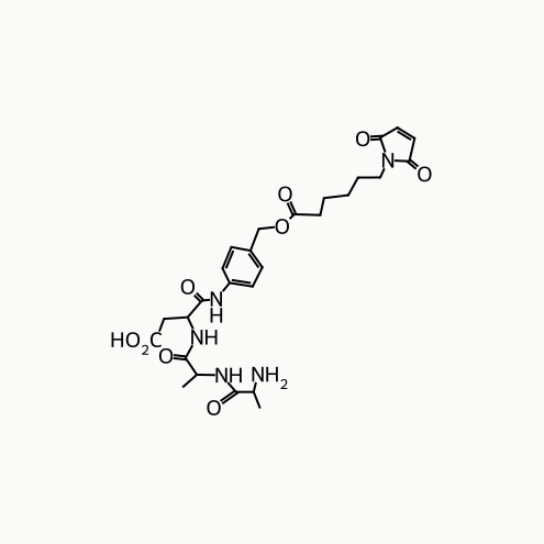 CC(N)C(=O)NC(C)C(=O)NC(CC(=O)O)C(=O)Nc1ccc(COC(=O)CCCCCN2C(=O)C=CC2=O)cc1